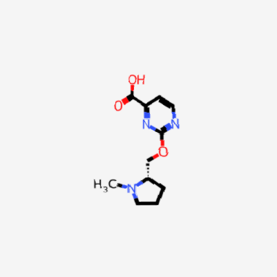 CN1CCC[C@H]1COc1nccc(C(=O)O)n1